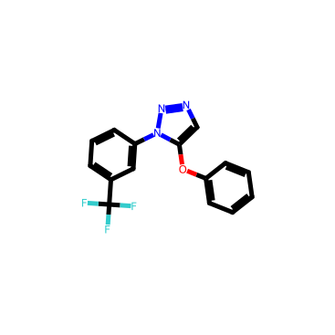 FC(F)(F)c1cccc(-n2nncc2Oc2ccccc2)c1